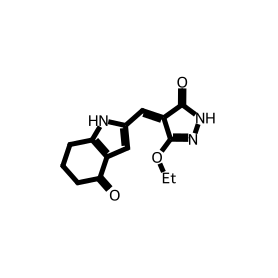 CCOC1=NNC(=O)C1=Cc1cc2c([nH]1)CCCC2=O